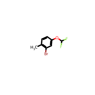 Cc1ccc(OC(F)F)cc1Br